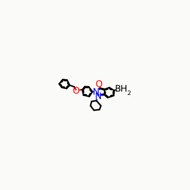 Bc1ccc2c(c1)c(=O)n(-c1ccc(OCc3ccccc3)cc1)n2C1CCCCC1